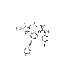 C[C@@H]1CN([C@H](C)CO)C(=O)c2cc(C#Cc3ccc(F)cc3)cnc2O[C@H]1CN(C)C(=O)Nc1ccc(F)cc1